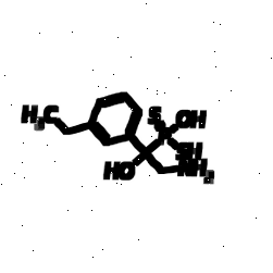 CCc1cccc(C(O)(CN)P(O)(=S)S)c1